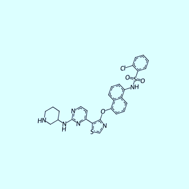 O=S(=O)(Nc1cccc2c(Oc3ncsc3-c3ccnc(NC4CCCNC4)n3)cccc12)c1ccccc1Cl